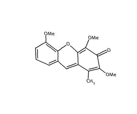 COc1c2oc3c(OC)cccc3cc-2c(C)c(OC)c1=O